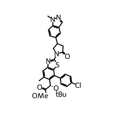 COC(=O)[C@@H](OC(C)(C)C)c1c(C)cc2nc(N3CC(c4ccc5c(cnn5C)c4)CC3=O)sc2c1-c1ccc(Cl)cc1